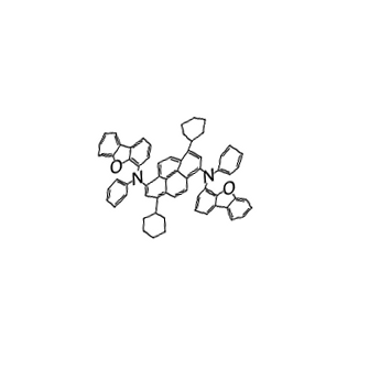 c1ccc(N(c2cc(C3CCCCC3)c3ccc4c(N(c5ccccc5)c5cccc6c5oc5ccccc56)cc(C5CCCCC5)c5ccc2c3c54)c2cccc3c2oc2ccccc23)cc1